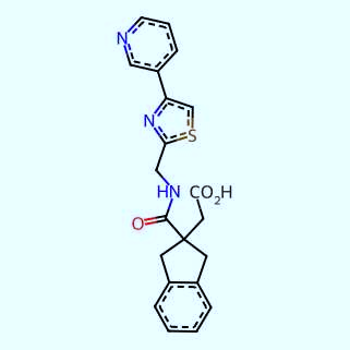 O=C(O)CC1(C(=O)NCc2nc(-c3cccnc3)cs2)Cc2ccccc2C1